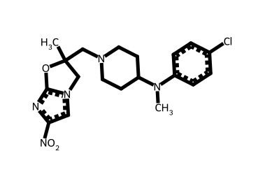 CN(c1ccc(Cl)cc1)C1CCN(CC2(C)Cn3cc([N+](=O)[O-])nc3O2)CC1